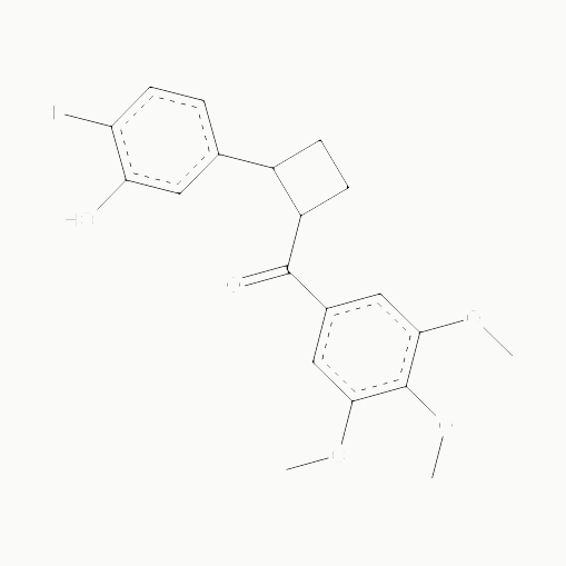 COc1cc(C(=O)C2CCC2c2ccc(F)c(O)c2)cc(OC)c1OC